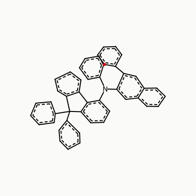 c1ccc(-c2cc3ccccc3cc2N(c2ccccc2)c2cccc3c2-c2ccccc2C3(c2ccccc2)c2ccccc2)cc1